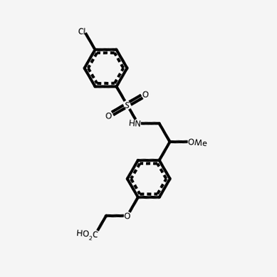 COC(CNS(=O)(=O)c1ccc(Cl)cc1)c1ccc(OCC(=O)O)cc1